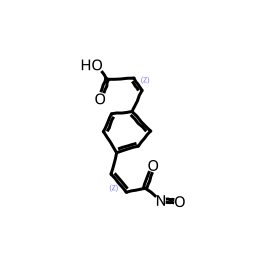 O=NC(=O)/C=C\c1ccc(/C=C\C(=O)O)cc1